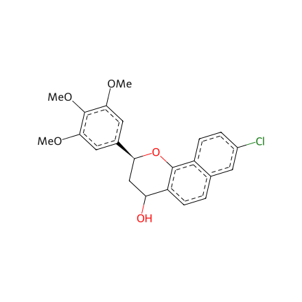 COc1cc([C@@H]2CC(O)c3ccc4cc(Cl)ccc4c3O2)cc(OC)c1OC